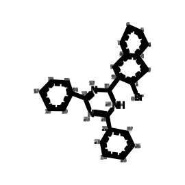 Brc1cc2ccccc2cc1C1N=C(c2ccccc2)N=C(c2ccccc2)N1